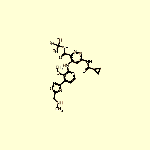 [2H]C([2H])([2H])NC(=O)c1nnc(NC(=O)C2CC2)cc1Nc1nccc(-c2noc(CNC)n2)c1OC